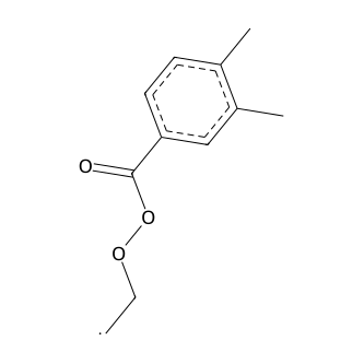 [CH2]COOC(=O)c1ccc(C)c(C)c1